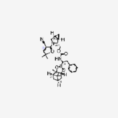 CC(C)(C)/C=C(/C#N)C(=O)N1C[C@H]2C[C@H]2[C@@H]1COC(=O)N[C@@H](Cc1ccccc1)B1O[C@@H]2C[C@@H]3C[C@@H](C3(C)C)[C@]2(C)O1